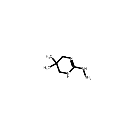 CC1(C)CN=C(NN)NC1